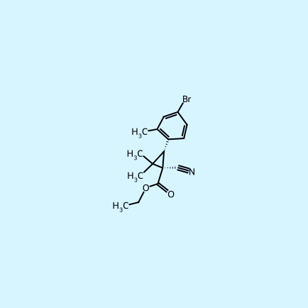 CCOC(=O)[C@]1(C#N)[C@@H](c2ccc(Br)cc2C)C1(C)C